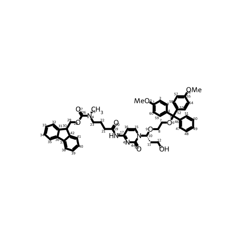 COc1ccc(C(OCCO[C@H](CCO)n2ccc(NC(=O)CCCN(C)C(=O)OCC3c4ccccc4-c4ccccc43)nc2=O)(c2ccccc2)c2ccc(OC)cc2)cc1